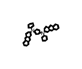 c1ccc(N(c2ccc(N(c3ccccc3)c3ccc4cc5ccccc5cc4c3)cc2)c2ccc3cc4ccccc4cc3c2)cc1